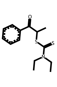 CCN(CC)C(=S)SC(C)C(=O)c1ccccc1